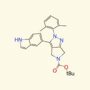 Cc1cccc(C)c1-n1nc2c(c1-c1ccc3[nH]ccc3c1)CN(C(=O)OC(C)(C)C)C2